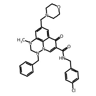 CN1CN(Cc2ccccc2)n2cc(C(=O)NCc3ccc(Cl)cc3)c(=O)c3cc(CN4CCOCC4)cc1c32